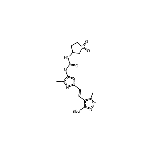 CCCCc1noc(C)c1/C=C/c1nc(C)c(OC(=O)NC2CCS(=O)(=O)C2)s1